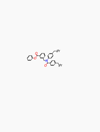 CC(C)Cc1ccc(C(=O)N(Cc2cccc(C(=O)Oc3ccccc3)c2)c2ccc(CC(C)C)cc2)cc1